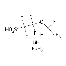 O=S(=O)(O)C(F)(F)C(F)(F)OC(F)(F)C(F)(F)F.[LiH].[PbH2]